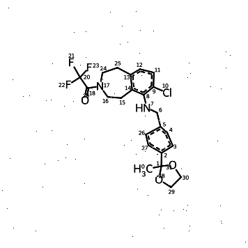 CC1(c2ccc(CNc3c(Cl)ccc4c3CCN(C(=O)C(F)(F)F)CC4)cc2)OCCO1